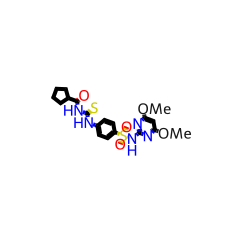 COc1cc(OC)nc(NS(=O)(=O)c2ccc(NC(=S)NC(=O)C3CCCC3)cc2)n1